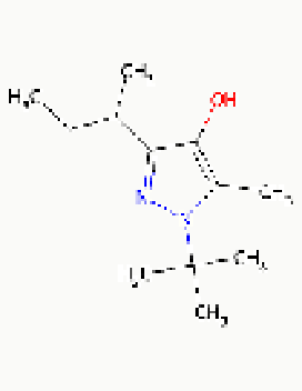 CCC(C)c1nn(C(C)(C)C)c(C)c1O